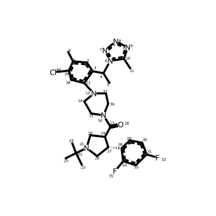 Cc1cc(C(C)n2nnnc2C)c(N2CCN(C(=O)C3CN(C(C)(C)C)C[C@H]3c3ccc(F)cc3F)CC2)cc1Cl